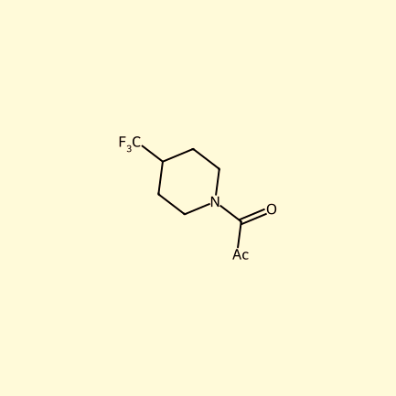 CC(=O)C(=O)N1CCC(C(F)(F)F)CC1